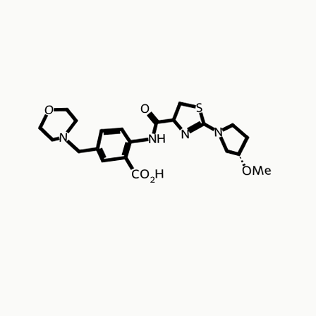 CO[C@H]1CCN(C2=NC(C(=O)Nc3ccc(CN4CCOCC4)cc3C(=O)O)CS2)C1